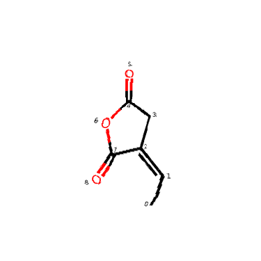 CC=C1CC(=O)OC1=O